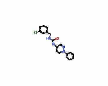 O=C(N=c1ccn(-c2ccccc2)nc1)NCc1cccc(Cl)c1